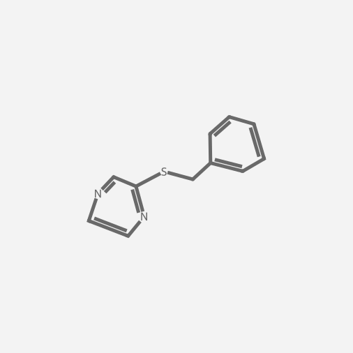 c1ccc(CSc2cnccn2)cc1